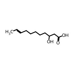 C/C=C/CCCCCC(O)CC(=O)O